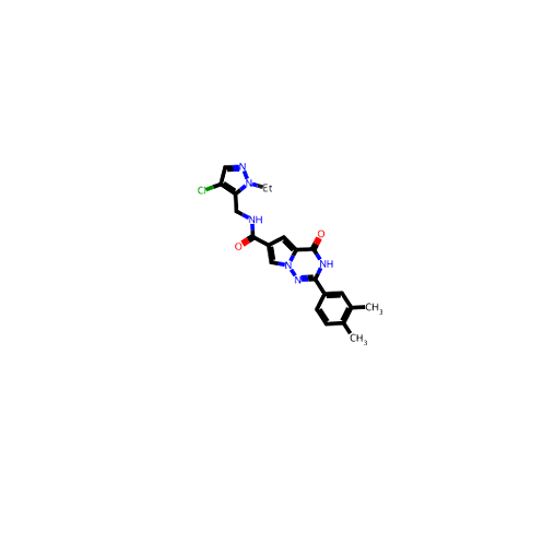 CCn1ncc(Cl)c1CNC(=O)c1cc2c(=O)[nH]c(-c3ccc(C)c(C)c3)nn2c1